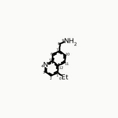 CCc1ccnc2cc(CN)ccc12